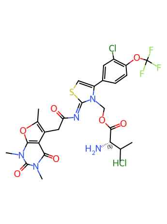 Cc1oc2c(c1CC(=O)N=c1scc(-c3ccc(OC(F)(F)F)c(Cl)c3)n1COC(=O)[C@@H](N)C(C)C)c(=O)n(C)c(=O)n2C.Cl